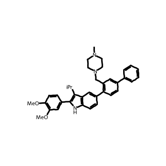 COc1ccc(-c2[nH]c3ccc(-c4ccc(-c5ccccc5)cc4CN4CCN(C)CC4)cc3c2C(C)C)cc1OC